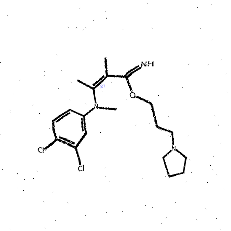 C/C(C(=N)OCCCN1CCCC1)=C(\C)N(C)c1ccc(Cl)c(Cl)c1